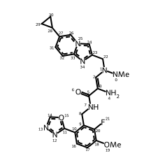 CNN(/C=C(\N)C(=O)NCc1c(-c2nnco2)ccc(OC)c1F)Cc1cn2cc(C3CC3)ccc2n1